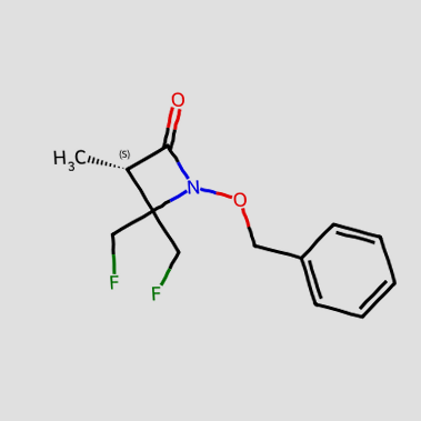 C[C@@H]1C(=O)N(OCc2ccccc2)C1(CF)CF